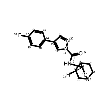 O=C(N[C@H]1CN2CCC1CC2)n1cc(-c2ccc(F)cc2)cn1